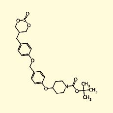 CC(C)(C)OC(=O)N1CCC(Oc2ccc(COc3ccc(CC4COS(=O)OC4)cc3)cc2)CC1